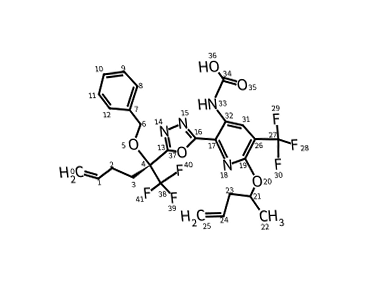 C=CCC[C@@](OCc1ccccc1)(c1nnc(-c2nc(OC(C)CC=C)c(C(F)(F)F)cc2NC(=O)O)o1)C(F)(F)F